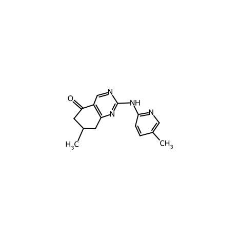 Cc1ccc(Nc2ncc3c(n2)CC(C)CC3=O)nc1